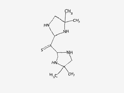 CC1(C)CNC(C(=S)C2NCC(C)(C)N2)N1